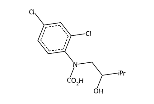 CC(C)C(O)CN(C(=O)O)c1ccc(Cl)cc1Cl